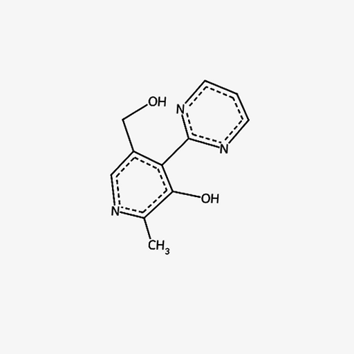 Cc1ncc(CO)c(-c2ncccn2)c1O